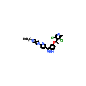 CCOC(=O)N1CC2(C1)CN(c1ccc(-c3n[nH]c4ccc(O[C@H](C)c5c(Cl)cnc(C)c5Cl)cc34)cn1)C2